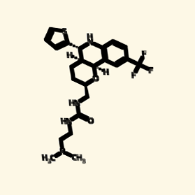 CN(C)CCNC(=O)NC[C@H]1CC[C@@H]2[C@H](O1)c1cc(C(F)(F)F)ccc1N[C@H]2c1cccs1